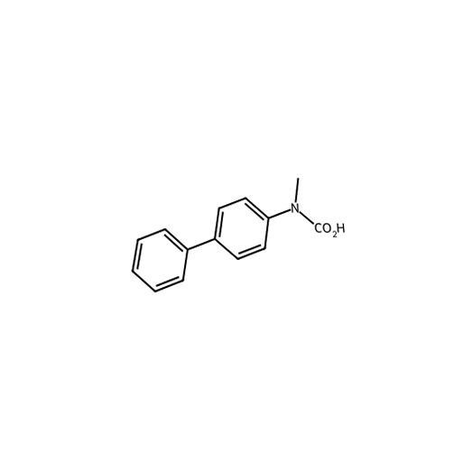 CN(C(=O)O)c1ccc(-c2ccccc2)cc1